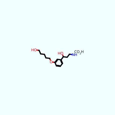 O=C(O)NCCC(O)c1cccc(OCCCCCO)c1